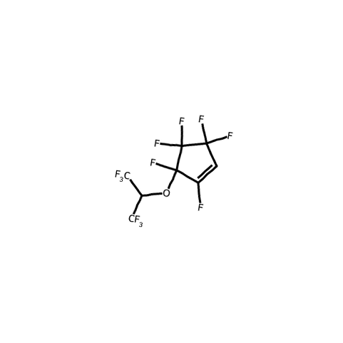 FC1=CC(F)(F)C(F)(F)C1(F)OC(C(F)(F)F)C(F)(F)F